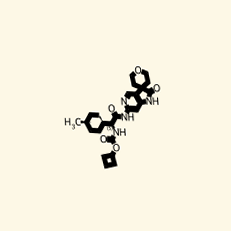 C[C@H]1CC[C@H]([C@H](NC(=O)OC2CCC2)C(=O)Nc2cc3c(cn2)C2(CCOCC2)C(=O)N3)CC1